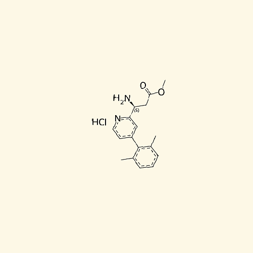 COC(=O)C[C@H](N)c1cc(-c2c(C)cccc2C)ccn1.Cl